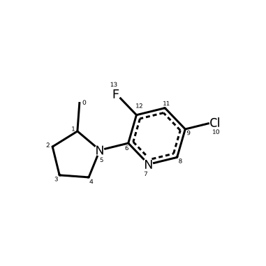 CC1CCCN1c1ncc(Cl)cc1F